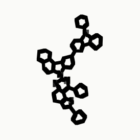 c1ccc(-c2cc3ccc4nc(-n5c6ccc(-c7ccc8c(c7)c7ccccc7n8-c7ccccc7)cc6c6c7ccccc7ccc65)nc(-c5ccccc5)c4c3s2)cc1